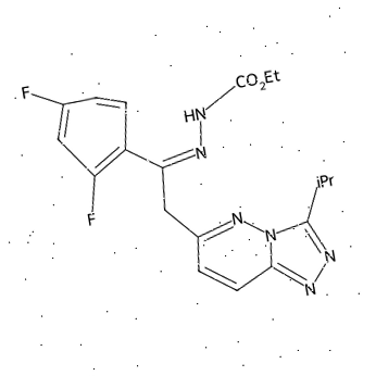 CCOC(=O)NN=C(Cc1ccc2nnc(C(C)C)n2n1)c1ccc(F)cc1F